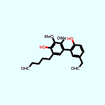 COc1c(-c2cc(CC=O)ccc2O)cc(CCCCC=O)c(O)c1OC